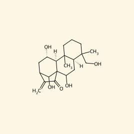 C=C1C(=O)C23C(O)C[C@@H]4C(C)(CO)CCCC4(C)[C@@H]2[C@@H](O)CC1C3O